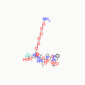 CC[C@H](C)[C@@H]([C@@H](CC(=O)N1CCC[C@H]1[C@H](OC)[C@@H](C)C(=O)N[C@@H](Cc1ccccc1)C(=O)OC(C)(C)C)OC)N(C)C(=O)[C@@H](NC(=O)[C@]1(C)CCCN1C(=O)CCOCCOCCOCCOCCOCCOCCN)C(C)C.O=C(O)C(F)(F)F